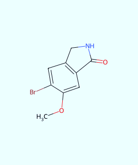 COc1cc2c(cc1Br)CNC2=O